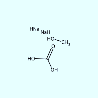 CO.O=C(O)O.[NaH].[NaH]